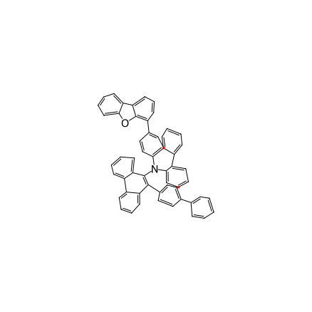 c1ccc(-c2ccc(-c3c(N(c4ccc(-c5cccc6c5oc5ccccc56)cc4)c4ccccc4-c4ccccc4)c4ccccc4c4ccccc34)cc2)cc1